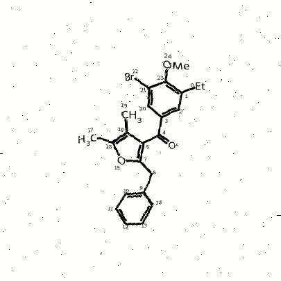 CCc1cc(C(=O)c2c(Cc3ccccc3)oc(C)c2C)cc(Br)c1OC